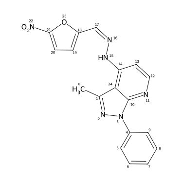 Cc1nn(-c2ccccc2)c2nccc(N/N=C\c3ccc([N+](=O)[O-])o3)c12